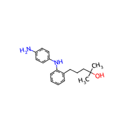 CC(C)(O)CCCc1ccccc1Nc1ccc(N)cc1